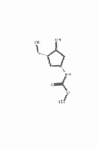 CC(C)(C)OC(=O)N[C@H]1CC(O)[C@@H](CO)C1